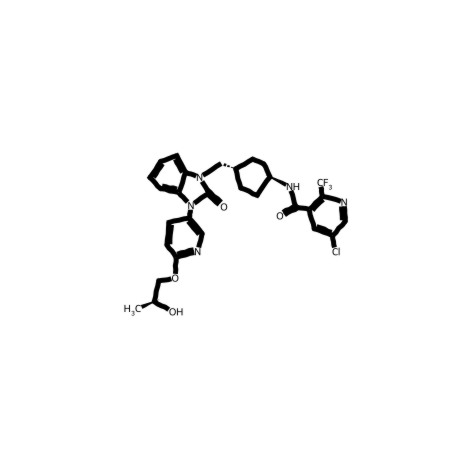 C[C@H](O)COc1ccc(-n2c(=O)n(C[C@H]3CC[C@H](NC(=O)c4cc(Cl)cnc4C(F)(F)F)CC3)c3ccccc32)cn1